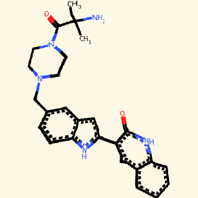 CC(C)(N)C(=O)N1CCN(Cc2ccc3[nH]c(-c4cc5ccccc5[nH]c4=O)cc3c2)CC1